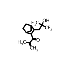 C=C(C)C(=O)C1C2CCC(C2)C1CC(O)(C(F)(F)F)C(F)(F)F